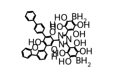 Bc1c(O)c(O)c(-c2nc(-c3c(O)c(O)c(B)c(O)c3O)nc(-c3c(O)c(-c4ccc(-c5ccccc5)cc4)c(O)c(-c4cccc5c4oc4ccccc45)c3O)n2)c(O)c1O